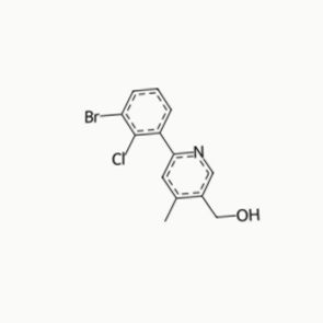 Cc1cc(-c2cccc(Br)c2Cl)ncc1CO